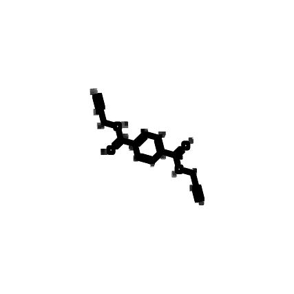 C#CCOC(=O)c1ccc(C(=O)OCC#C)cc1